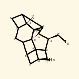 CC12C3C4CC(CC5C6C[C@H]7CC8[C@H](CI)C3[C@]51C687)[C@@]42C